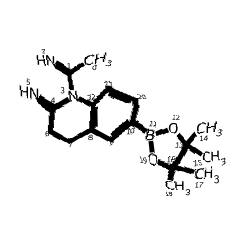 CC(=N)N1C(=N)CCc2cc(B3OC(C)(C)C(C)(C)O3)ccc21